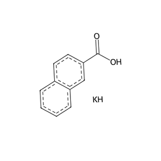 O=C(O)c1ccc2ccccc2c1.[KH]